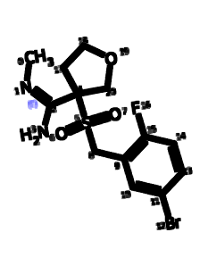 C/N=C(/N)C1(S(=O)(=O)Cc2cc(Br)ccc2F)CCOC1